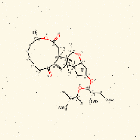 CC[C@H]1CCCC[C@@H](C)C(=O)C2=C[C@@H]3[C@@H]([C@H](C)OC4C[C@@H](OC(OC(C)[C@@H](C)OC)[C@H](COC)OC)C[C@H]43)[C@@H]2CC(=O)O1